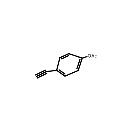 C#Cc1ccc(OC(C)=O)cc1